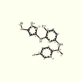 CC(C)Oc1cc(Nc2nc(N[C@@H](C)c3ccc(F)cn3)ccc2F)n[nH]1